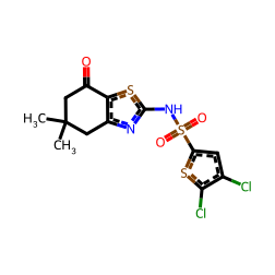 CC1(C)CC(=O)c2sc(NS(=O)(=O)c3cc(Cl)c(Cl)s3)nc2C1